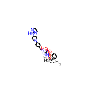 CC(C)(C)c1ccccc1S(=O)(=O)N[C@@H](CNCc1ccc(N2CCC(Nc3ncccn3)CC2)cc1)C(=O)O